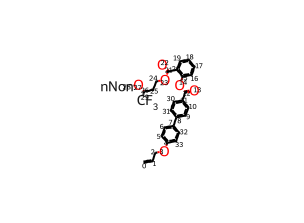 C=CCOc1ccc(-c2ccc(C(=O)Oc3ccccc3C(=O)OCCC(OCCCCCCCCC)C(F)(F)F)cc2)cc1